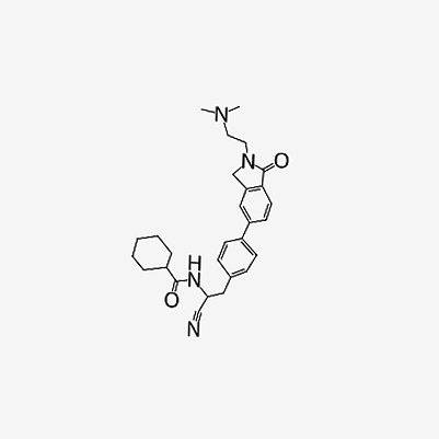 CN(C)CCN1Cc2cc(-c3ccc(CC(C#N)NC(=O)C4CCCCC4)cc3)ccc2C1=O